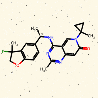 Cc1nc(N[C@H](C)c2ccc3c(c2)C(C)(F)CO3)c2cn(C3(C)CC3)c(=O)cc2n1